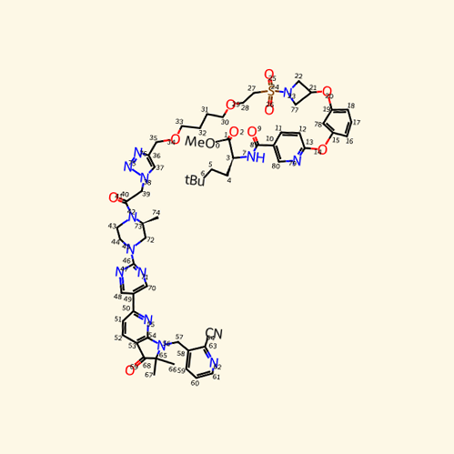 COC(=O)[C@H](CCC(C)(C)C)NC(=O)c1ccc(Oc2cccc(OC3CN(S(=O)(=O)CCOCCCCOCc4cn(CC(=O)N5CCN(c6ncc(-c7ccc8c(n7)N(Cc7cccnc7C#N)C(C)(C)C8=O)cn6)C[C@@H]5C)nn4)C3)c2)nc1